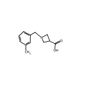 Cc1[c]ccc(CN2CC(C(=O)O)C2)c1